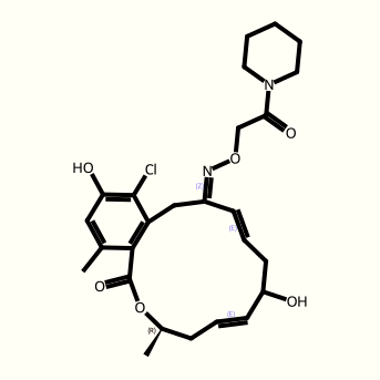 Cc1cc(O)c(Cl)c2c1C(=O)O[C@H](C)C/C=C/C(O)C/C=C/C(=N\OCC(=O)N1CCCCC1)C2